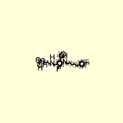 O=[PH](O)OCCCNCc1cc(-c2ccoc2)c(NCCCCCc2ccc(F)cc2)cc1F